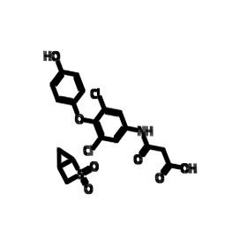 O=C(O)CC(=O)Nc1cc(Cl)c(Oc2ccc(O)cc2)c(Cl)c1.O=S1(=O)CC2CC21